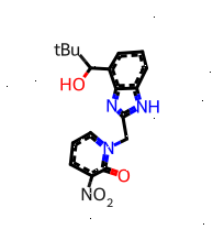 CC(C)(C)C(O)c1cccc2[nH]c(Cn3cccc([N+](=O)[O-])c3=O)nc12